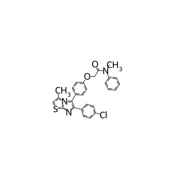 Cc1csc2nc(-c3ccc(Cl)cc3)c(-c3ccc(OCC(=O)N(C)c4ccccc4)cc3)n12